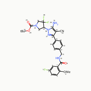 COc1ccc(F)cc1C(=O)NCc1ccc(-c2nn(C3CN(C(=O)OC(C)(C)C)CC3(F)F)c(N)c2C#N)cc1